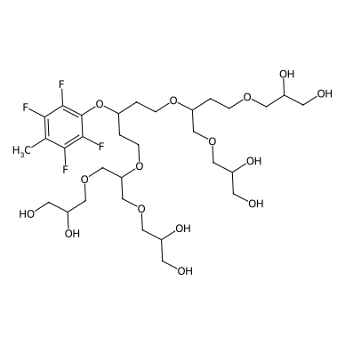 Cc1c(F)c(F)c(OC(CCOC(CCOCC(O)CO)COCC(O)CO)CCOC(COCC(O)CO)COCC(O)CO)c(F)c1F